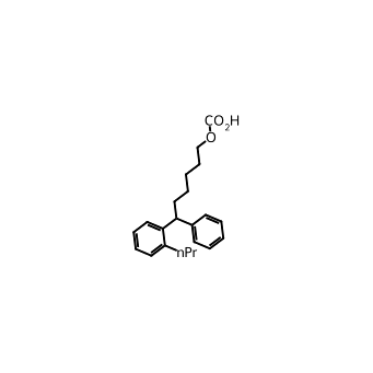 CCCc1ccccc1C(CCCCCOC(=O)O)c1ccccc1